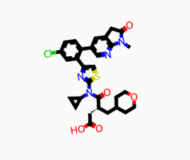 CN1C(=O)Cc2cc(-c3ccc(Cl)cc3-c3csc(N(C(=O)[C@@H](CC(=O)O)CC4CCOCC4)C4CC4)n3)cnc21